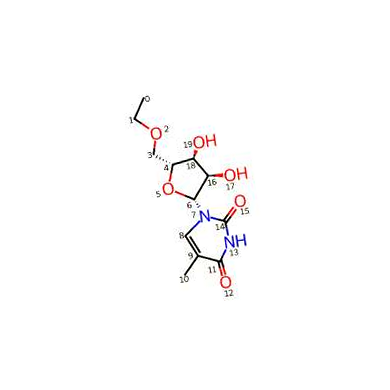 CCOC[C@H]1O[C@@H](n2cc(C)c(=O)[nH]c2=O)[C@H](O)[C@@H]1O